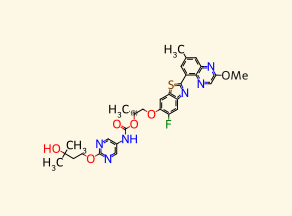 COc1cnc2c(-c3nc4cc(F)c(OC[C@@H](C)OC(=O)Nc5cnc(OCCC(C)(C)O)nc5)cc4s3)cc(C)cc2n1